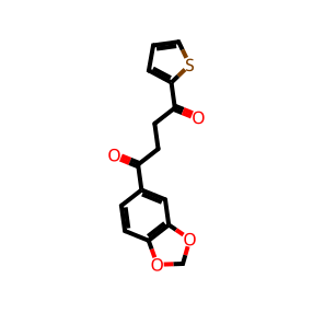 O=C(CCC(=O)c1cccs1)c1ccc2c(c1)OCO2